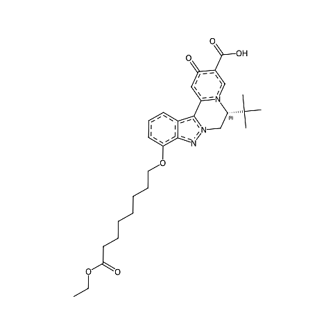 CCOC(=O)CCCCCCCOc1cccc2c3n(nc12)C[C@@H](C(C)(C)C)n1cc(C(=O)O)c(=O)cc1-3